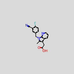 Cc1c(CC(=O)O)c2cccnc2n1Cc1ccc(F)c(C#N)c1